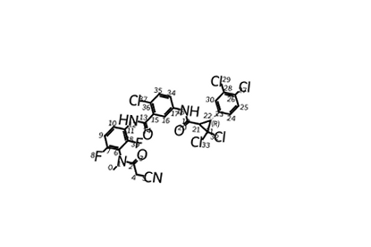 CN(C(=O)CC#N)c1c(F)ccc(NC(=O)c2cc(NC(=O)C3[C@H](c4ccc(Cl)c(Cl)c4)C3(Cl)Cl)ccc2Cl)c1F